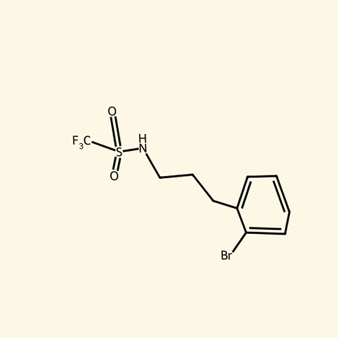 O=S(=O)(NCCCc1ccccc1Br)C(F)(F)F